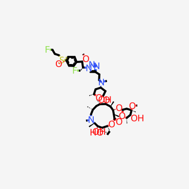 CC[C@H]1OC(=O)[C@H](C)[C@@H](O[C@H]2C[C@@](C)(OC)[C@@H](O)[C@H](C)O2)[C@H](C)[C@@H](O[C@H]2C[C@@H](N(C)CCc3cn([C@H](CF)[C@H](OC)c4ccc([S+]([O-])CCCF)cc4)nn3)C[C@@H](C)O2)[C@](C)(O)C[C@@H](C)CN(C)[C@H](C)[C@@H](O)[C@]1(C)O